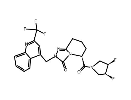 O=C([C@@H]1CCCc2nn(Cc3cc(C(F)(F)F)nc4ccccc34)c(=O)n21)N1C[C@@H](F)[C@@H](F)C1